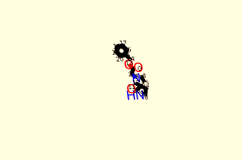 O=C(CN1CC[C@@]2(CCNC2=O)C1)OCc1ccccc1